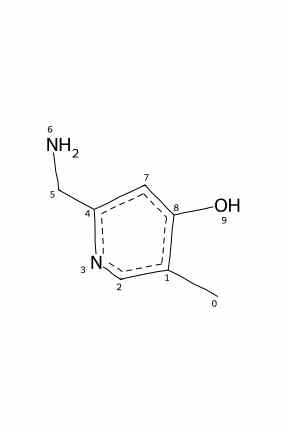 Cc1cnc(CN)cc1O